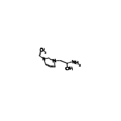 C=CN1C=CN(CC(N)O)C1